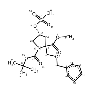 COC(=O)C1(COCc2ccccc2)C[C@@H](OS(C)(=O)=O)CN1C(=O)OC(C)(C)C